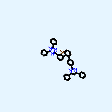 c1ccc(-c2cc(-c3ccccc3)nc(-c3ccc(-c4cccc5sc6c(-c7nc(-c8ccccc8)nc(-c8ccccc8)n7)cccc6c45)cc3)n2)cc1